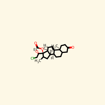 CCC(=O)O[C@]1(C(=O)CCl)C(C)C[C@H]2[C@@H]3CCC4CC(=O)CC[C@]4(C)C3=CC[C@@]21C